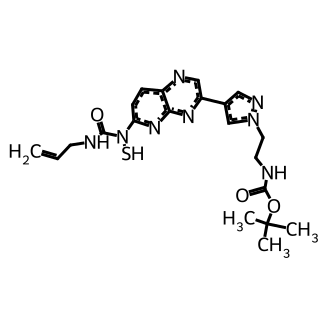 C=CCNC(=O)N(S)c1ccc2ncc(-c3cnn(CCNC(=O)OC(C)(C)C)c3)nc2n1